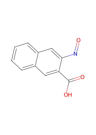 O=Nc1cc2ccccc2cc1C(=O)O